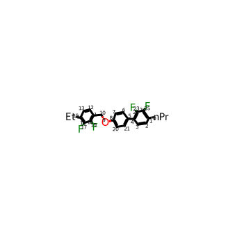 CCCc1ccc(-c2ccc(OCc3ccc(CC)c(F)c3F)cc2)c(F)c1F